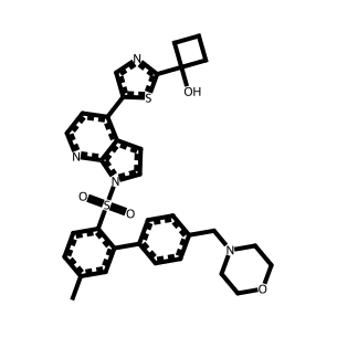 Cc1ccc(S(=O)(=O)n2ccc3c(-c4cnc(C5(O)CCC5)s4)ccnc32)c(-c2ccc(CN3CCOCC3)cc2)c1